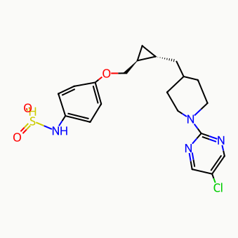 O=[SH](=O)Nc1ccc(OC[C@H]2C[C@@H]2CC2CCN(c3ncc(Cl)cn3)CC2)cc1